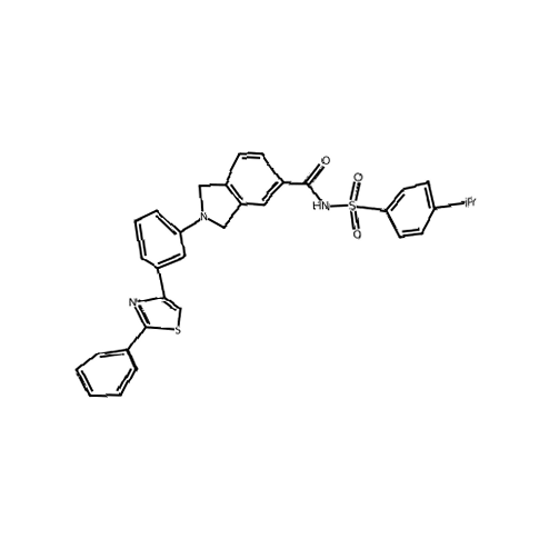 CC(C)c1ccc(S(=O)(=O)NC(=O)c2ccc3c(c2)CN(c2cccc(-c4csc(-c5ccccc5)n4)c2)C3)cc1